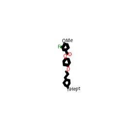 CCCCCCCC1CCC(CCCOc2ccc(OC(=O)c3ccc(OC)c(F)c3)cc2)CC1